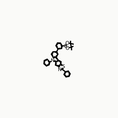 CC1(C)OB(c2cccc(-c3ccc4c(c3)c3cc5sc(-c6ccccc6)nc5cc3n4-c3ccccc3)c2)OC1(C)C